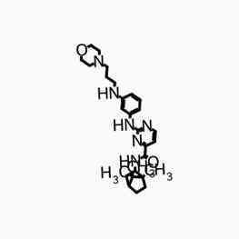 CC1(C)C2CCC1(C)C(NC(=O)c1ccnc(Nc3cccc(NCCCN4CCOCC4)c3)n1)C2